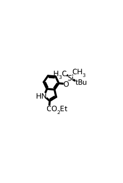 CCOC(=O)c1cc2c(O[Si](C)(C)C(C)(C)C)cccc2[nH]1